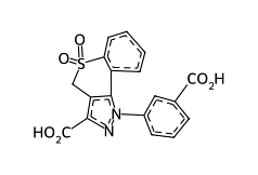 O=C(O)c1cccc(-n2nc(C(=O)O)c3c2-c2ccccc2S(=O)(=O)C3)c1